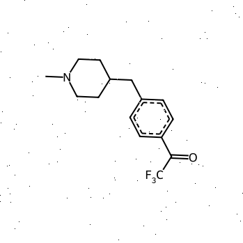 CN1CCC(Cc2ccc(C(=O)C(F)(F)F)cc2)CC1